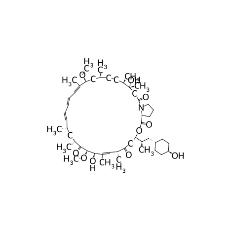 CO[C@H]1C[C@@H](C)CC[C@@H](C)[C@](C)(O)CC(=O)N2CCCC2C(=O)O[C@H]([C@H](C)C[C@H]2CC[C@H](O)CC2)CC(=O)[C@H](C)/C=C(\C)[C@@H](O)[C@@H](OC)C(=O)[C@H](C)C[C@H](C)/C=C/C=C/C=C/1C